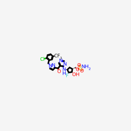 NS(=O)(=O)OC[C@H]1C[C@@H](Nc2ncncc2C(=O)c2ccn(Cc3cc(C(F)(F)F)ccc3Cl)n2)[C@@H](F)[C@@H]1O